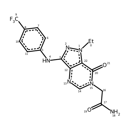 CCn1nc(Nc2ccc(C(F)(F)F)cc2)c2ncn(CC(N)=O)c(=O)c21